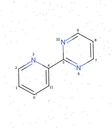 [c]1ccnc(-c2ncccn2)c1